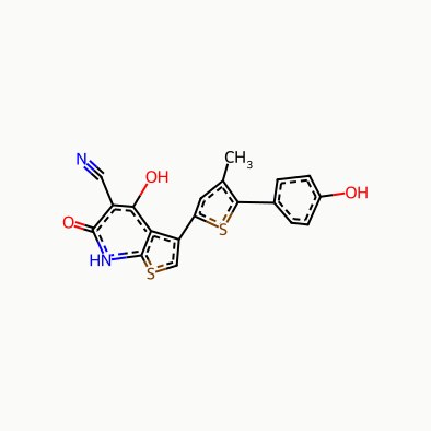 Cc1cc(-c2csc3[nH]c(=O)c(C#N)c(O)c23)sc1-c1ccc(O)cc1